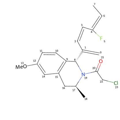 C=C(/C=C\C(F)=C/C)[C@H]1c2ccc(OC)cc2C[C@H](C)N1C(=O)CCl